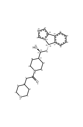 O=C(CC1CCOCC1)N1CCC([C@@H](O)C[C@H]2c3ccccc3-c3cncn32)CC1